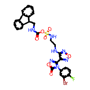 O=C(NCC1c2ccccc2-c2ccccc21)OS(=O)(=O)NCCNc1nonc1-c1noc(=O)n1-c1ccc(F)c(Br)c1